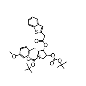 COc1ccc(C[C@@H]2[C@H](OC(=O)Cc3cc4ccccc4s3)[C@@H](OC(=O)OC(C)(C)C)CN2C(=O)OC(C)(C)C)cc1